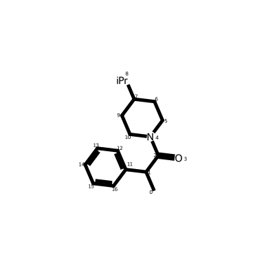 CC(C(=O)N1CCC(C(C)C)CC1)c1ccccc1